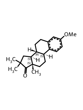 COc1ccc2c(c1)CC[C@@H]1[C@@H]2CC[C@]2(C)C(=O)C(C)(C)C[C@@H]12